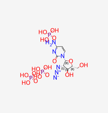 O=P(O)(O)O.O=P(O)(O)O.O=P(O)(O)O.[N-]=[N+]=N[C@H]1[C@H](O)[C@@H](CO)O[C@H]1n1ccc(N)nc1=O